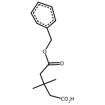 CC(C)(CC(=O)O)CC(=O)OCc1ccccc1